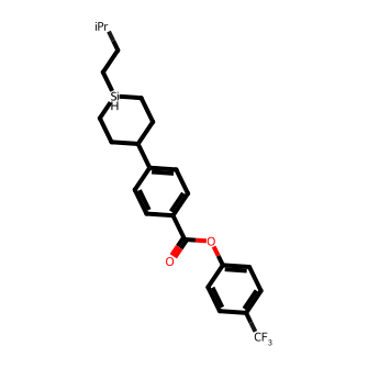 CC(C)CC[SiH]1CCC(c2ccc(C(=O)Oc3ccc(C(F)(F)F)cc3)cc2)CC1